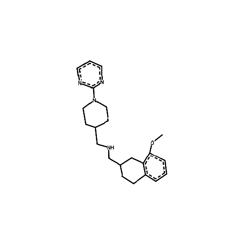 COc1cccc2c1CC(CNCC1CCN(c3ncccn3)CC1)CC2